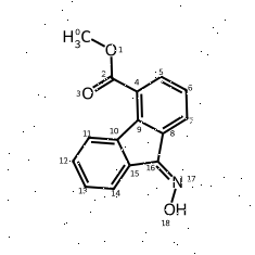 COC(=O)c1cccc2c1-c1ccccc1C2=NO